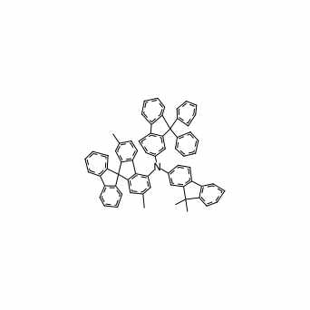 Cc1ccc2c(c1)C1(c3ccccc3-c3ccccc31)c1cc(C)cc(N(c3ccc4c(c3)C(C)(C)c3ccccc3-4)c3ccc4c(c3)C(c3ccccc3)(c3ccccc3)c3ccccc3-4)c1-2